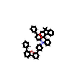 CC1(C)c2ccccc2-c2c(-c3ccccc3N(c3ccc(-c4ccccc4)cc3)c3ccc(-c4cccc5c4oc4c(-c6ccccc6)cccc45)cc3)cccc21